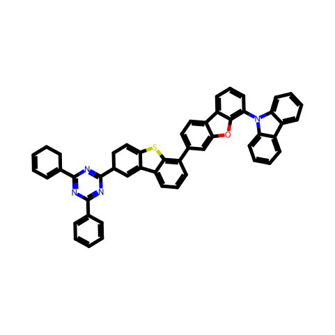 C1=CCCC(c2nc(-c3ccccc3)nc(C3C=c4c(sc5c(-c6ccc7c(c6)oc6c(-n8c9ccccc9c9ccccc98)cccc67)cccc45)=CC3)n2)=C1